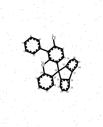 Clc1ccc2c(c1-c1ccccc1)Oc1ccccc1C21c2ccccc2-c2ccccc21